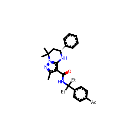 CCC(CC)(NC(=O)c1c(C)nn2c1N[C@@H](c1ccccc1)CC2(C)C)c1ccc(C(C)=O)cc1